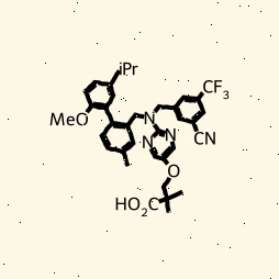 COc1ccc(C(C)C)cc1-c1ccc(C)cc1CN(Cc1cc(C#N)cc(C(F)(F)F)c1)c1ncc(OCC(C)(C)C(=O)O)cn1